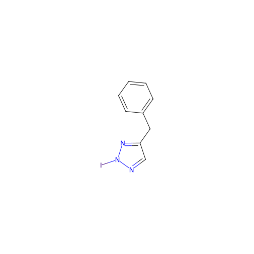 In1ncc(Cc2ccccc2)n1